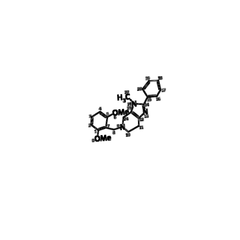 COc1cccc(OC)c1CN1CCc2nc(-c3ccccc3)n(C)c2C1